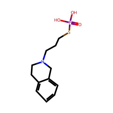 O=P(O)(O)SCCCN1CCc2ccccc2C1